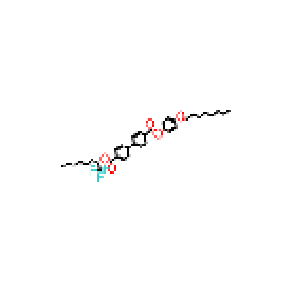 CCCCCCCCOc1ccc(OC(=O)c2ccc(-c3ccc(C(=O)O[C@H](CCCCCC)C(F)(F)F)cc3)cc2)cc1